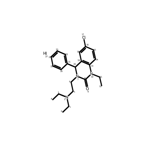 CCN(CC)CCN1C(=O)N(CC)c2ccc(Cl)cc2C1c1ccccc1.I